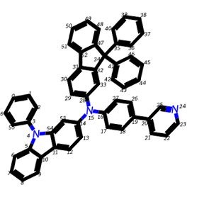 c1ccc(-n2c3ccccc3c3ccc(N(c4ccc(-c5cccnc5)cc4)c4ccc5c(c4)C(c4ccccc4)(c4ccccc4)c4ccccc4-5)cc32)cc1